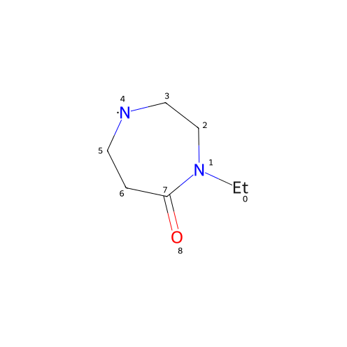 CCN1CC[N]CCC1=O